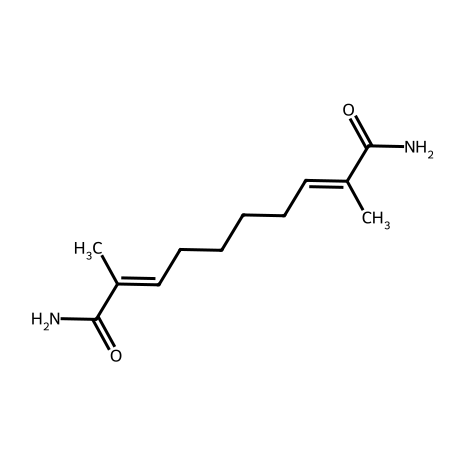 C/C(=C\CCCC/C=C(\C)C(N)=O)C(N)=O